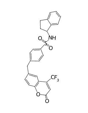 O=c1cc(C(F)(F)F)c2cc(Cc3ccc(S(=O)(=O)NC4CCc5ccccc54)cc3)ccc2o1